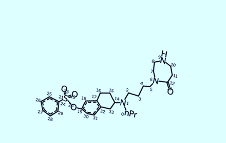 CCCN(CCCCN1CCNCCC1=O)C1CCc2cc(OS(=O)(=O)c3ccccc3)ccc2C1